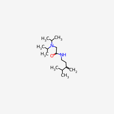 C=C(CCNC(=O)CN(C(C)C)C(C)C)C(C)C